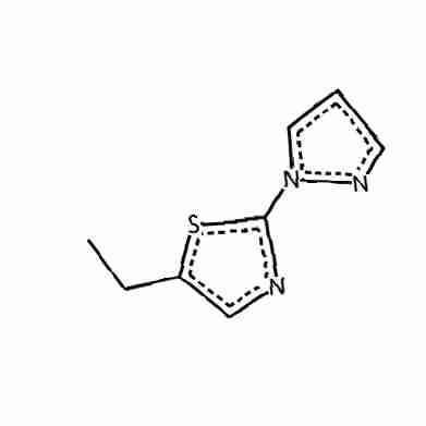 CCc1cnc(-n2cccn2)s1